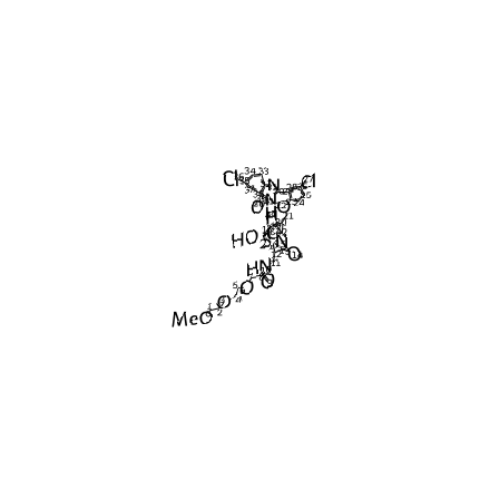 COCCOCCOCC(=O)NC[C@@H]1C(=O)N2C1SC[C@@H]1C(COc3ccc(Cl)cc3-c3nc4ccc(Cl)cc4c(=O)[nH]3)C12C(=O)O